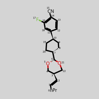 CCCC=C[C@H]1CO[C@H]([C@H]2CC[C@H](c3ccc(C#N)c(F)c3)CC2)OC1